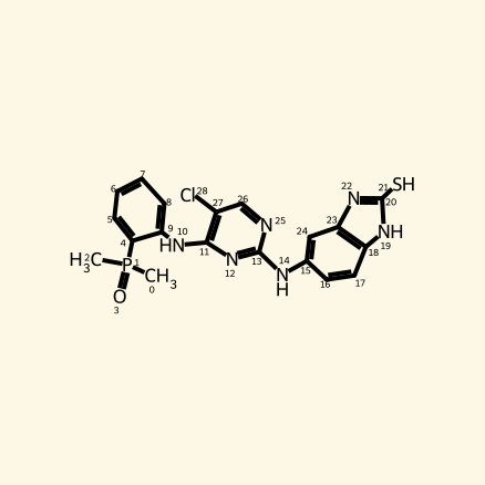 CP(C)(=O)c1ccccc1Nc1nc(Nc2ccc3[nH]c(S)nc3c2)ncc1Cl